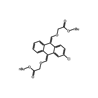 CCCCOC(=O)COC=c1c2ccccc2c(=COCC(=O)OCCCC)c2cc(Cl)ccc12